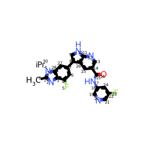 Cc1nc2c(F)cc(-c3c[nH]c4ncc(C(=O)Nc5cncc(F)c5)cc34)cc2n1C(C)C